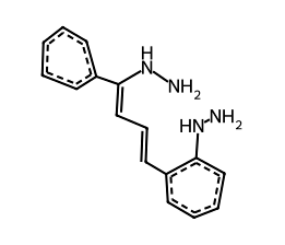 NNC(=CC=Cc1ccccc1NN)c1ccccc1